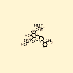 Cc1ccccc1-c1ccc(Cn2c3c(c(O)c(C(=O)NCC(=O)O)c2=O)CSC3)cn1.O=C(O)C(F)(F)F